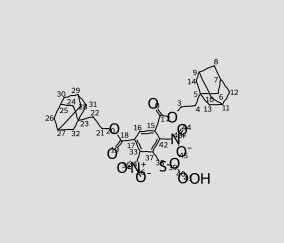 O=C(OCCC12CC3CC(CC(C3)C1)C2)c1cc(C(=O)OCCC23CC4CC(CC(C4)C2)C3)c([N+](=O)[O-])c(SOOO)c1[N+](=O)[O-]